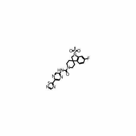 CS(=O)(=O)N1CC2(CCN(C(=O)Nc3cnc(-c4ncns4)cn3)CC2)c2ccc(F)cc21